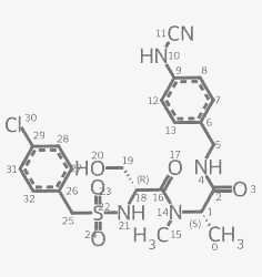 C[C@@H](C(=O)NCc1ccc(NC#N)cc1)N(C)C(=O)[C@@H](CO)NS(=O)(=O)Cc1ccc(Cl)cc1